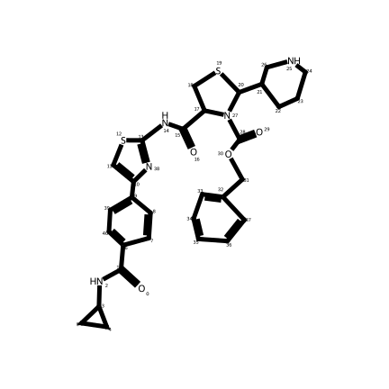 O=C(NC1CC1)c1ccc(-c2csc(NC(=O)C3CSC(C4CCCNC4)N3C(=O)OCc3ccccc3)n2)cc1